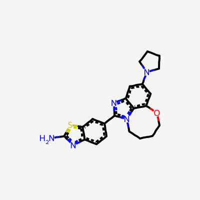 Nc1nc2ccc(-c3nc4cc(N5CCCC5)cc5c4n3CCCCO5)cc2s1